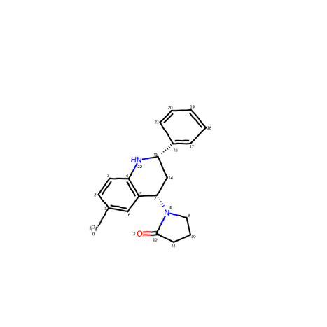 CC(C)c1ccc2c(c1)[C@@H](N1CCCC1=O)C[C@@H](c1ccccc1)N2